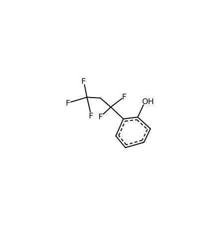 Oc1ccccc1C(F)(F)CC(F)(F)F